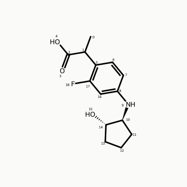 CC(C(=O)O)c1ccc(N[C@H]2CCC[C@@H]2O)cc1F